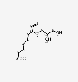 C=CC(CCCCCCCCCCCCC)OCC(O)CO